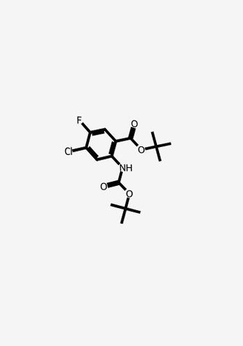 CC(C)(C)OC(=O)Nc1cc(Cl)c(F)cc1C(=O)OC(C)(C)C